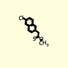 COC(=S)Cc1ccc2cc(Cl)ccc2c1